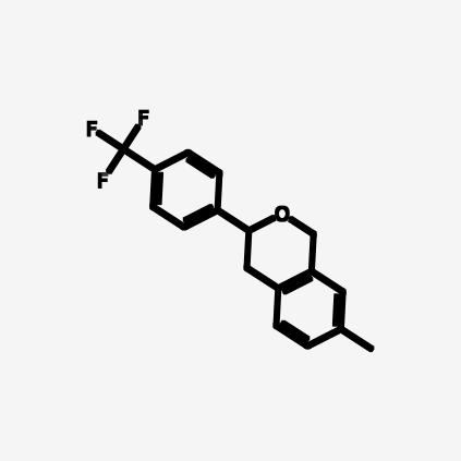 Cc1ccc2c(c1)COC(c1ccc(C(F)(F)F)cc1)C2